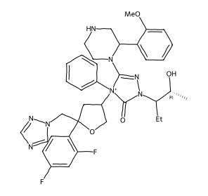 CCC([C@@H](C)O)N1N=C(N2CCNCC2c2ccccc2OC)[N+](c2ccccc2)(C2COC(Cn3cncn3)(c3ccc(F)cc3F)C2)C1=O